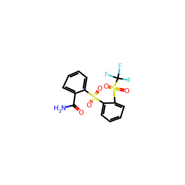 NC(=O)c1ccccc1S(=O)(=O)c1ccccc1S(=O)(=O)C(F)(F)F